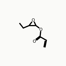 C=CC(=O)OC1OC1CC